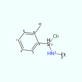 CCN[SiH](Cl)c1ccccc1C